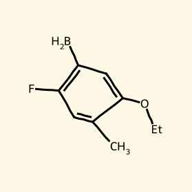 Bc1cc(OCC)c(C)cc1F